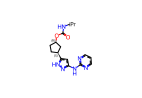 CC(C)NC(=O)O[C@@H]1CC[C@H](c2cc(Nc3ncccn3)n[nH]2)C1